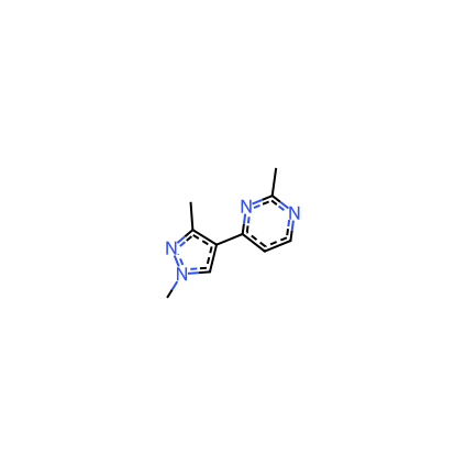 Cc1nccc(-c2cn(C)nc2C)n1